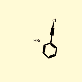 Br.ClC#Cc1ccccc1